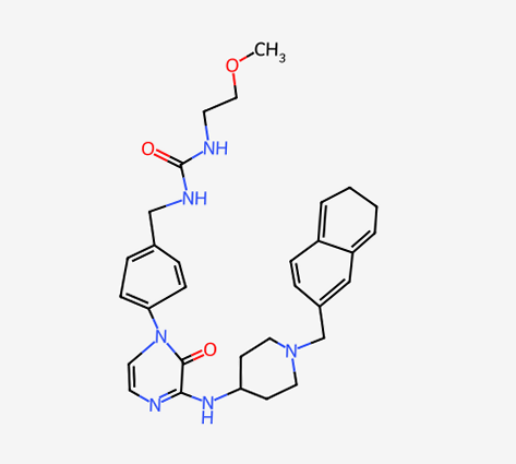 COCCNC(=O)NCc1ccc(-n2ccnc(NC3CCN(Cc4ccc5c(c4)=CCCC=5)CC3)c2=O)cc1